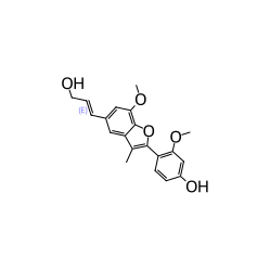 COc1cc(O)ccc1-c1oc2c(OC)cc(/C=C/CO)cc2c1C